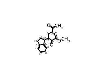 COC(=O)C(=O)C(CCC(C)=O)C1CCc2ccccc21